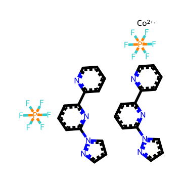 F[P-](F)(F)(F)(F)F.F[P-](F)(F)(F)(F)F.[Co+2].c1ccc(-c2cccc(-n3cccn3)n2)nc1.c1ccc(-c2cccc(-n3cccn3)n2)nc1